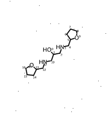 OC(CNCC1CCCO1)CNCC1CCCO1